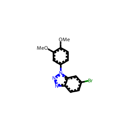 COc1ccc(-n2nnc3ccc(Br)cc32)cc1OC